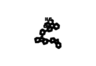 C=Cc1c(/C=C\C)c2cc(-c3cccc(-n4c5ccccc5c5ccc(-c6ccc7sc8ccccc8c7c6)cc54)c3)ccc2c2ccccc12